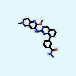 CNC(=O)c1cccc(-c2cccc3cnc(Nc4cc5c(nc4OC)CCN(C)C5)nc23)c1